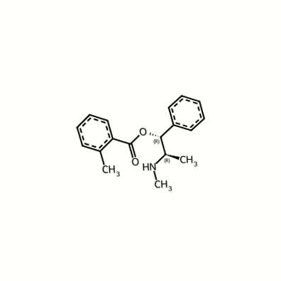 CN[C@H](C)[C@H](OC(=O)c1ccccc1C)c1ccccc1